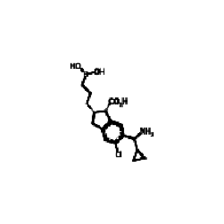 NC(c1cc2c(cc1Cl)C[C@H](CCCB(O)O)[C@@H]2C(=O)O)C1CC1